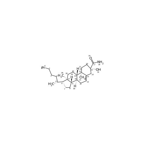 CC(C)CCC[C@@H](C)[C@H]1CC[C@H]2[C@@H]3CC=C4C[C@](O)(C(N)=O)CC[C@]4(C)[C@H]3CC[C@]12C